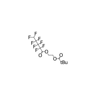 CC(C)(C)C(=O)OCCOC(=O)C(F)(F)C(F)(F)C(F)(F)C(F)F